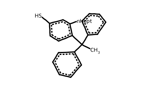 CCCCCCCc1cc(S)ccc1C(C)(c1ccccc1)c1ccccc1